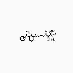 CC(N)C(=O)NCCCOc1cccc(C(C)N2CCCC2)c1